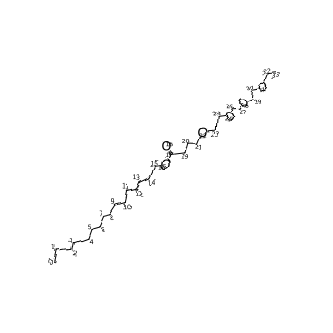 CCCCCCCCCCCCCCCCOC(=O)CCCOCCOCCOCCOCC